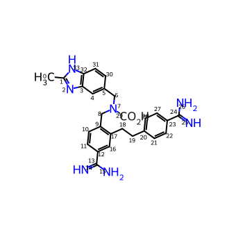 Cc1nc2cc(CN(Cc3ccc(C(=N)N)cc3CCc3ccc(C(=N)N)cc3)C(=O)O)ccc2[nH]1